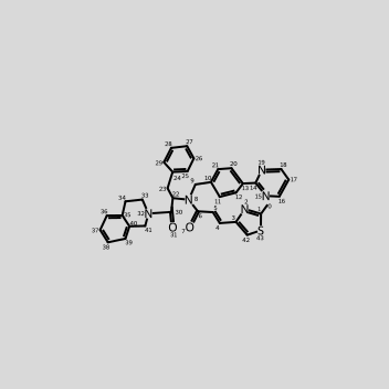 Cc1nc(C=CC(=O)N(Cc2ccc(-c3ncccn3)cc2)C(Cc2ccccc2)C(=O)N2CCc3ccccc3C2)cs1